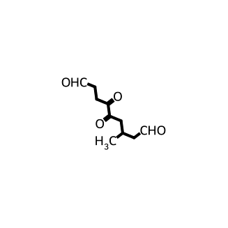 CC(CC=O)CC(=O)C(=O)CCC=O